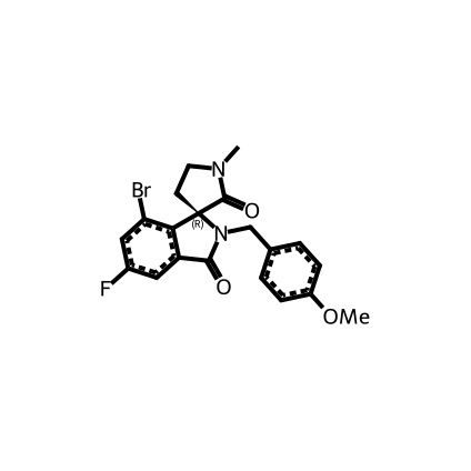 COc1ccc(CN2C(=O)c3cc(F)cc(Br)c3[C@@]23CCN(C)C3=O)cc1